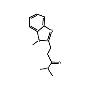 CN(C)C(=O)CCc1nc2ccccc2n1C